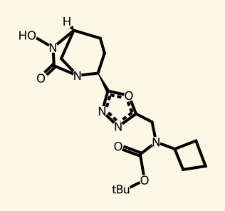 CC(C)(C)OC(=O)N(Cc1nnc([C@@H]2CC[C@@H]3CN2C(=O)N3O)o1)C1CCC1